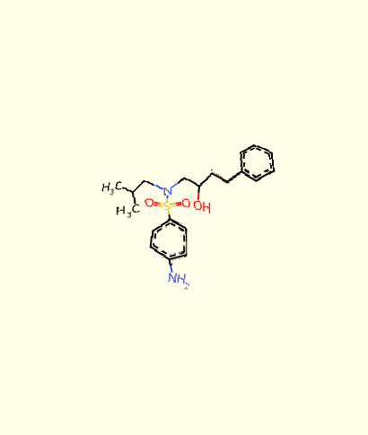 CC(C)CN(CC(O)[CH]Cc1ccccc1)S(=O)(=O)c1ccc(N)cc1